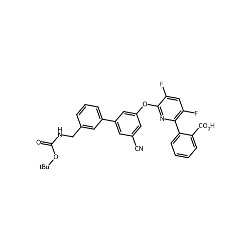 CC(C)(C)OC(=O)NCc1cccc(-c2cc(C#N)cc(Oc3nc(-c4ccccc4C(=O)O)c(F)cc3F)c2)c1